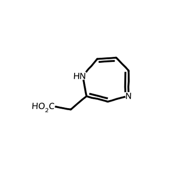 O=C(O)CC1=CN=CC=CN1